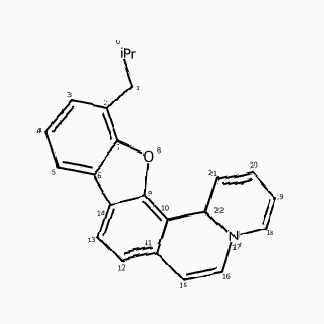 CC(C)Cc1cccc2c1oc1c3c(ccc12)C=CN1C=CC=CC31